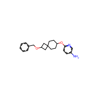 Nc1ccc(OC2CCC3(CC2)CC(OCc2ccccc2)C3)nc1